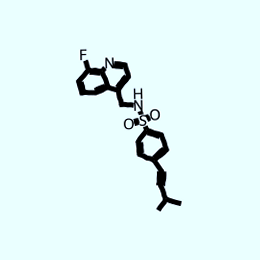 CC(C)C#Cc1ccc(S(=O)(=O)NCc2ccnc3c(F)cccc23)cc1